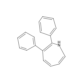 C1=CNC(c2ccccc2)=C(c2ccccc2)C=C1